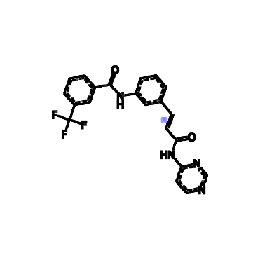 O=C(/C=C/c1cccc(NC(=O)c2cccc(C(F)(F)F)c2)c1)Nc1ccncn1